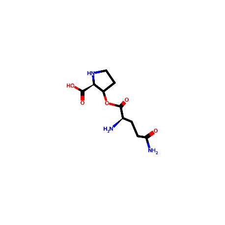 NC(=O)CC[C@@H](N)C(=O)OC1CCN[C@@H]1C(=O)O